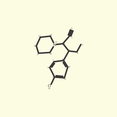 C#CC(C(CC)c1ccc(Cl)cc1)N1CCCCC1